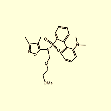 COCCOCN(c1onc(C)c1C)S(=O)(=O)c1ccccc1-c1ccccc1N(C)C